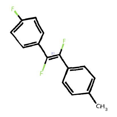 Cc1ccc(/C(F)=C(\F)c2ccc(F)cc2)cc1